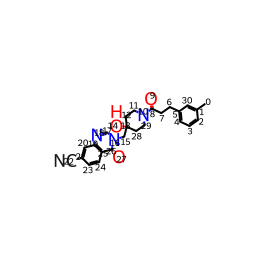 Cc1cccc(CCC(=O)N2CCC(O)(Cn3cnc4cc(C#N)ccc4c3=O)CC2)c1